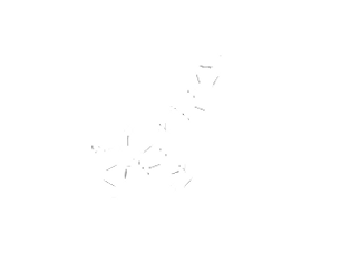 COC(=O)C1=C(CN2CCN3C(=O)N(c4ccc(C(C)(C)C(=O)O)cc4)C[C@@H]3C2)NC(c2nccs2)=N[C@H]1c1ccc(F)c(F)c1